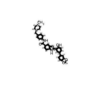 CN1CCN(Cc2ccc(NC(=O)c3ccc4[nH]c(-c5cc(-c6ccc7c(c6)OCO7)ccc5O)nc4c3)cc2)CC1